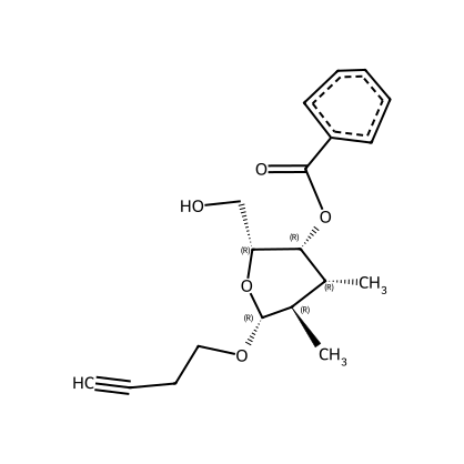 C#CCCO[C@@H]1O[C@H](CO)[C@H](OC(=O)c2ccccc2)[C@H](C)[C@H]1C